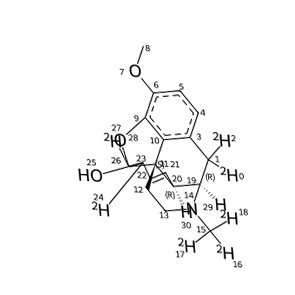 [2H]C1([2H])c2ccc(OC)c3c2[C@]24CCN(C([2H])([2H])[2H])[C@H]1[C@@H]2C=CC([2H])(O)C4([2H])O3